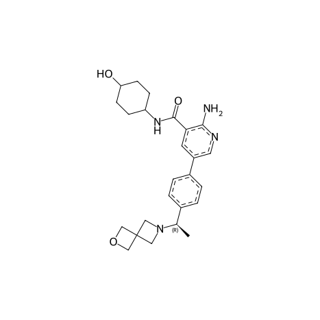 C[C@H](c1ccc(-c2cnc(N)c(C(=O)NC3CCC(O)CC3)c2)cc1)N1CC2(COC2)C1